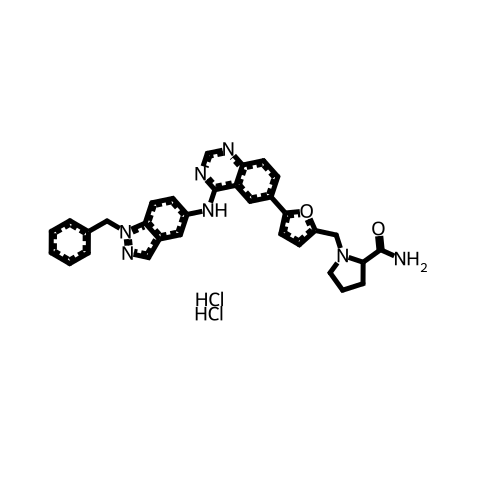 Cl.Cl.NC(=O)C1CCCN1Cc1ccc(-c2ccc3ncnc(Nc4ccc5c(cnn5Cc5ccccc5)c4)c3c2)o1